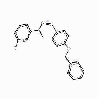 CC(/N=C\c1ccc(OCc2ccccc2)cc1)c1cccc(F)c1